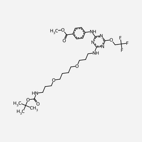 COC(=O)c1ccc(Nc2nc(NCCCOCCCCOCCCNC(=O)OC(C)(C)C)nc(OCC(F)(F)F)n2)cc1